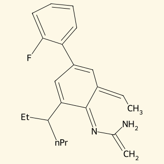 C=C(N)/N=C1/C(C(CC)CCC)=CC(c2ccccc2F)=C/C1=C/C